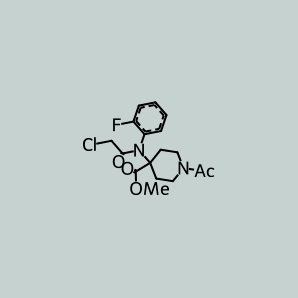 COC(=O)C1(N(C(=O)CCl)c2ccccc2F)CCN(C(C)=O)CC1